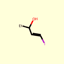 CCC(O)C=CI